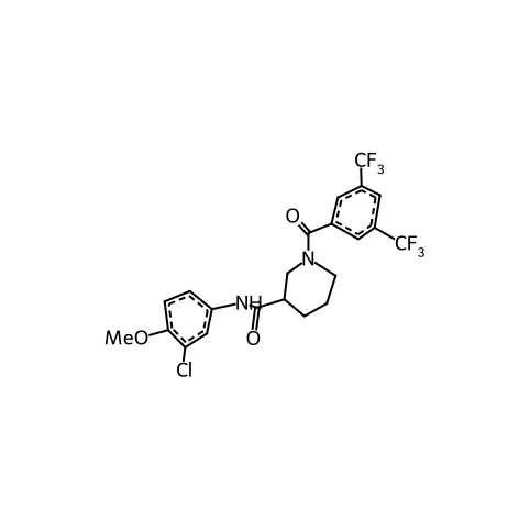 COc1ccc(NC(=O)C2CCCN(C(=O)c3cc(C(F)(F)F)cc(C(F)(F)F)c3)C2)cc1Cl